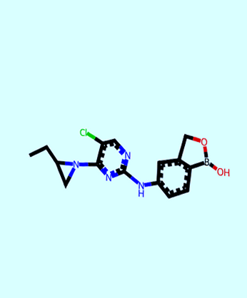 CCC1CN1c1nc(Nc2ccc3c(c2)COB3O)ncc1Cl